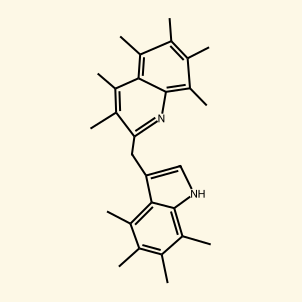 Cc1c(C)c(C)c2c(C)c(C)c(Cc3c[nH]c4c(C)c(C)c(C)c(C)c34)nc2c1C